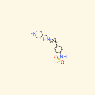 CN1CCC(CN[C@@H]2C[C@H]2c2ccc(NS(C)(=O)=O)cc2)CC1